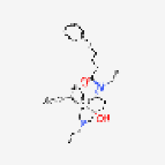 C=CCN1CCC2(c3cccc(OC(C)=O)c3)CC(N(CC(C)C)C(=O)CCCCCc3ccccc3)CCC2(O)C1